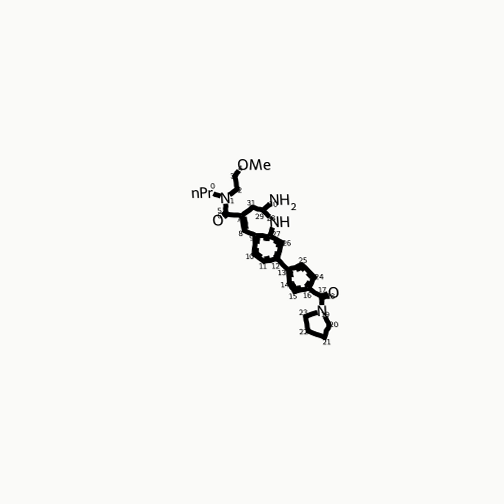 CCCN(CCOC)C(=O)C1=Cc2ccc(-c3ccc(C(=O)N4CCCC4)cc3)cc2NC(N)C1